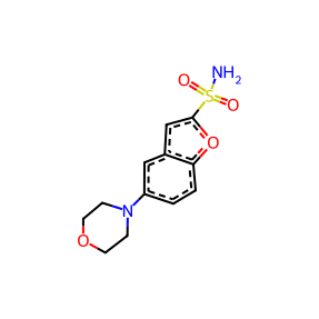 NS(=O)(=O)c1cc2cc(N3CCOCC3)ccc2o1